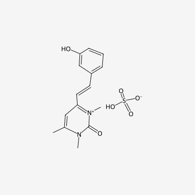 Cc1cc(C=Cc2cccc(O)c2)[n+](C)c(=O)n1C.O=S(=O)([O-])O